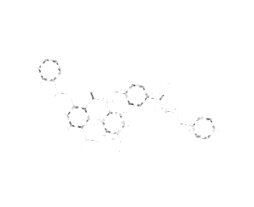 CC(C)c1ccc(OCc2ccccc2)c(C(=O)N(Cc2ccc(C(=O)NOCc3ccccc3)cc2)c2ccc(F)cc2)c1